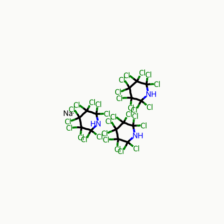 ClC1(Cl)NC(Cl)(Cl)C(Cl)(Cl)C(Cl)(Cl)C1(Cl)Cl.ClC1(Cl)NC(Cl)(Cl)C(Cl)(Cl)C(Cl)(Cl)C1(Cl)Cl.ClC1(Cl)NC(Cl)(Cl)C(Cl)(Cl)C(Cl)(Cl)C1(Cl)Cl.[Na]